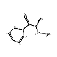 CCCOC(C)C(=O)c1[c]cccc1